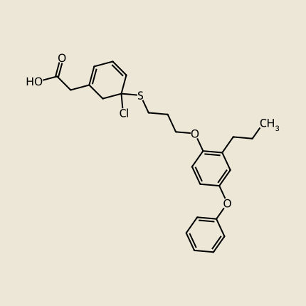 CCCc1cc(Oc2ccccc2)ccc1OCCCSC1(Cl)C=CC=C(CC(=O)O)C1